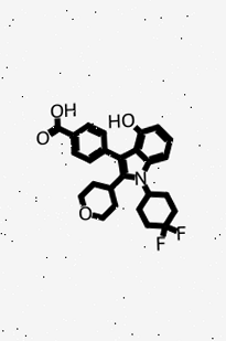 O=C(O)c1ccc(-c2c(C3CCOCC3)n(C3CCC(F)(F)CC3)c3cccc(O)c23)cc1